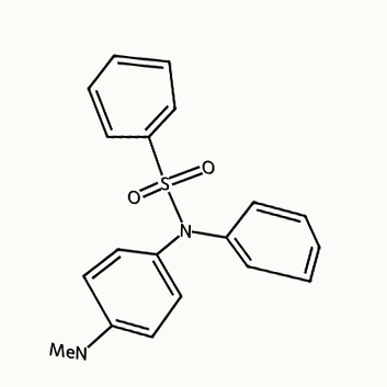 CNc1ccc(N(c2ccccc2)S(=O)(=O)c2ccccc2)cc1